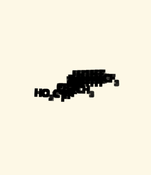 CN(C(F)(F)C(F)(F)C(F)=C(C(=O)O)C(F)(F)F)S(=O)(=O)C(F)(F)C(F)(F)C(F)(F)C(F)(F)C(F)(F)C(F)(F)C(F)(F)C(F)(F)F